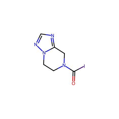 O=C(I)N1CCn2ncnc2C1